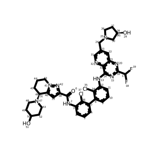 O=C(Nc1cccc(-c2cccc(Nc3nc(C(F)F)nc4cc(CN5CC[C@@H](O)C5)cnc34)c2Cl)c1Cl)c1cc2n(n1)CCC[C@@H]2N1CCC(O)CC1